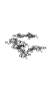 CC(=O)CC[C@H](NC(=O)CC[C@H](NC(=O)c1ccc(NCc2cnc3nc(N)[nH]c(=O)c3n2)cc1)C(=O)O)C(=O)N[C@@H](CCC(=O)O)C(=O)N[C@@H](CCC(C)=O)C(=O)N[C@@H](CCC(C)=O)C(=O)N[C@@H](CCC(=O)O)C(=O)N[C@@H](CCC(C)=O)C(=O)N[C@@H](CSSCOC(=O)NNC(=O)[C@@H](C)C[C@@H](C)Cc1ccc(O)cc1)C(=O)O